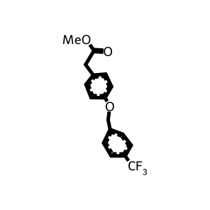 COC(=O)Cc1ccc(OCc2ccc(C(F)(F)F)cc2)cc1